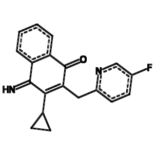 N=C1C(C2CC2)=C(Cc2ccc(F)cn2)C(=O)c2ccccc21